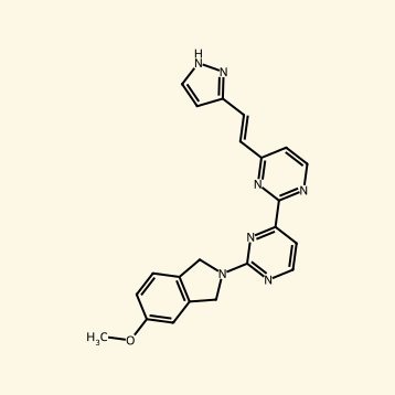 COc1ccc2c(c1)CN(c1nccc(-c3nccc(/C=C/c4cc[nH]n4)n3)n1)C2